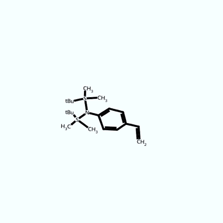 C=Cc1ccc(N(S(C)(C)C(C)(C)C)S(C)(C)C(C)(C)C)cc1